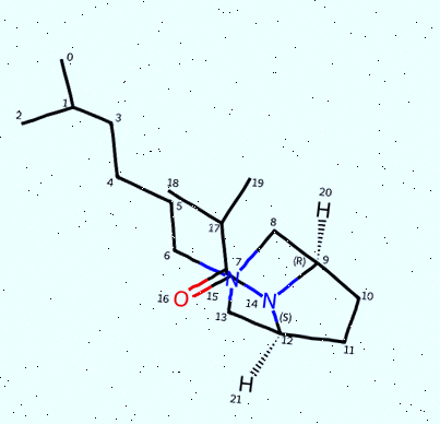 CC(C)CCCCN1C[C@H]2CC[C@@H](C1)N2C(=O)C(C)C